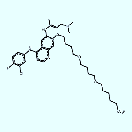 CC(=CCN(C)C)Nc1cc2c(Nc3ccc(F)c(Cl)c3)ncnc2cc1OCCCCOCCCCOCCCCCC(=O)O